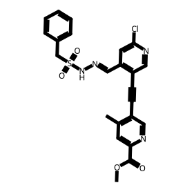 COC(=O)c1cc(C)c(C#Cc2cnc(Cl)cc2/C=N/NS(=O)(=O)Cc2ccccc2)cn1